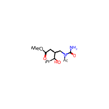 [CH2]C(=O)N(CC(CC(=O)OC)C(O)C(C)C)C(N)=O